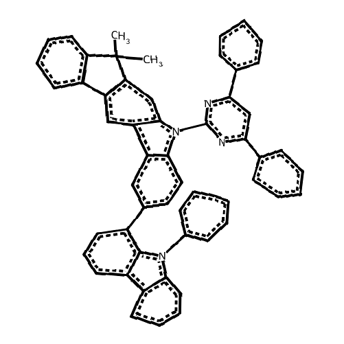 CC1(C)c2ccccc2-c2cc3c4cc(-c5cccc6c7ccccc7n(-c7ccccc7)c56)ccc4n(-c4nc(-c5ccccc5)cc(-c5ccccc5)n4)c3cc21